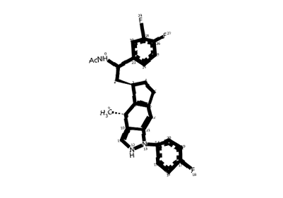 CC(=O)NC(C[C@H]1CCC2=C1[C@@H](C)C1=CNN(c3ccc(F)cc3)C1=C2)c1ccc(F)c(F)c1